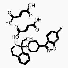 CCC1(N2CCC(c3noc4cc(F)ccc34)CC2)NCCc2ccccc21.O=C(O)C=CC(=O)O.O=C(O)C=CC(=O)O